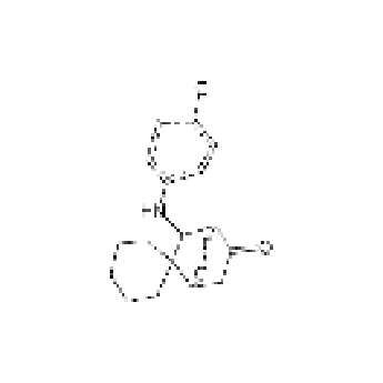 O=C1CC2CCC1C(Nc1ccc(Cl)cc1)C21CCCCC1